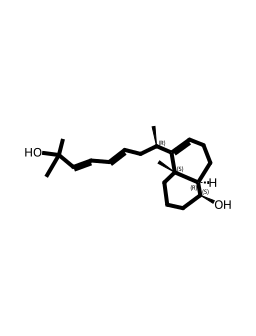 C[C@H](CC=CC=CC(C)(C)O)C1=CCC[C@H]2[C@@H](O)CCC[C@]12C